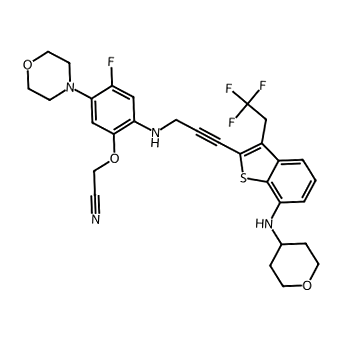 N#CCOc1cc(N2CCOCC2)c(F)cc1NCC#Cc1sc2c(NC3CCOCC3)cccc2c1CC(F)(F)F